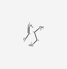 C=CCl.OCCO